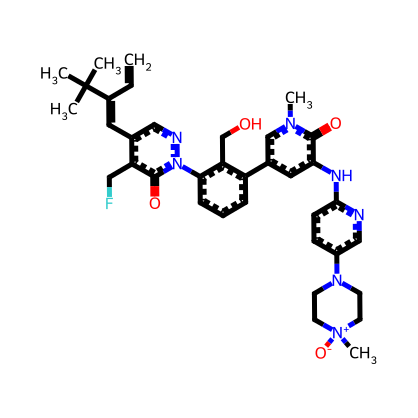 C=C/C(=C\c1cnn(-c2cccc(-c3cc(Nc4ccc(N5CC[N+](C)([O-])CC5)cn4)c(=O)n(C)c3)c2CO)c(=O)c1CF)C(C)(C)C